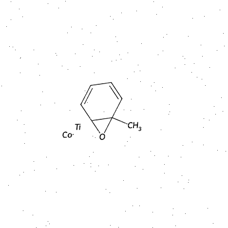 CC12C=CC=CC1O2.[Co].[Ti]